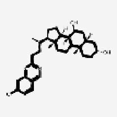 C[C@H](CCc1ncc2ccc(Cl)cc2n1)[C@H]1CC[C@H]2[C@H]3C(CC[C@]12C)[C@@]1(C)CC[C@@H](O)C[C@H]1C[C@@H]3O